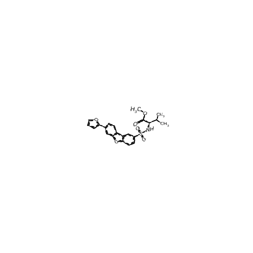 COC(=O)[C@H](NS(=O)(=O)c1ccc2oc3cc(-c4ccco4)ccc3c2c1)C(C)C